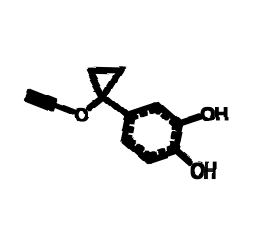 C#COC1(c2ccc(O)c(O)c2)CC1